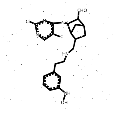 O=CC1C2CC(CNCCc3cccc(NO)c3)C(C2)C1Nc1nc(Cl)ncc1F